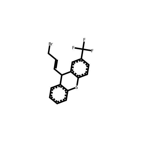 FC(F)(F)c1ccc2c(c1)C(C=CCBr)c1ccccc1S2